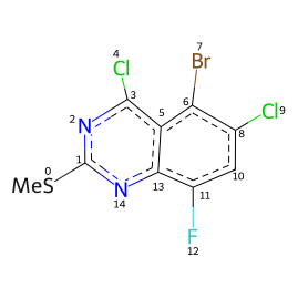 CSc1nc(Cl)c2c(Br)c(Cl)cc(F)c2n1